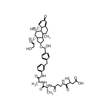 C[C@H](NC(=O)CCNC(=O)C(S)CC(=O)O)C(=O)N[C@@H](C)C(=O)Nc1cccc(Cc2ccc([C@@H](O)O[C@@H]3CC4[C@]5(C)CCC6=CC(=O)C=C[C@]6(C)C5[C@@H](O)C[C@]4(C)[C@H]3C(=O)CO)cc2)c1